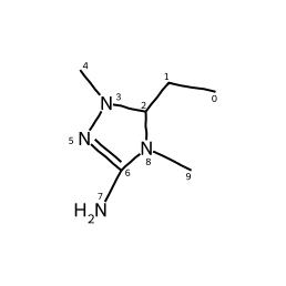 CCC1N(C)N=C(N)N1C